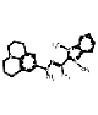 C/C(=N\N(C)c1cc2c3c(c1)CCCN3CCC2)c1n(C)c2ccccc2[n+]1C